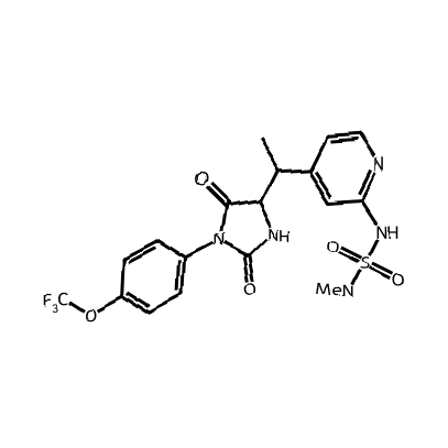 CNS(=O)(=O)Nc1cc(C(C)C2NC(=O)N(c3ccc(OC(F)(F)F)cc3)C2=O)ccn1